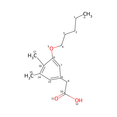 CCCCCOc1cc(CC(=O)O)cc(C)c1C